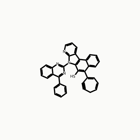 Sc1c(C2=CC=CCC#C2)c2ccccc2c2c3cccnc3n(-c3nc(-c4ccccc4)c4ccccc4n3)c12